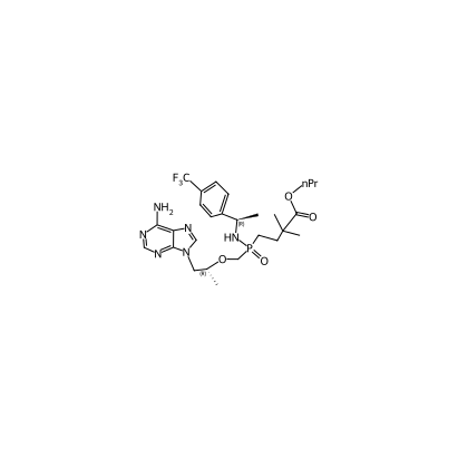 CCCOC(=O)C(C)(C)CCP(=O)(CO[C@H](C)Cn1cnc2c(N)ncnc21)N[C@H](C)c1ccc(C(F)(F)F)cc1